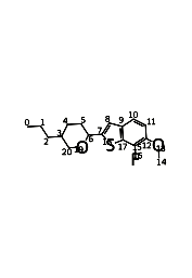 CCCC1CCC(c2cc3ccc(OC)c(F)c3s2)OC1